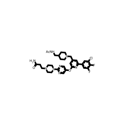 CC(=O)NCC1CCN(Cc2cc(Oc3cnc(N4CCN(CCC(N)=O)CC4)nc3)nc(-c3cc(F)c(F)c(Cl)c3)c2)CC1